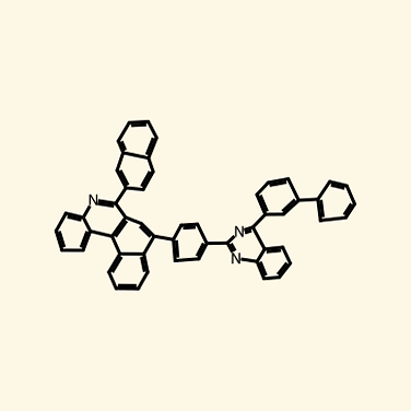 c1ccc(-c2cccc(-c3nc(-c4ccc(-c5cc6c(-c7ccc8ccccc8c7)nc7ccccc7c6c6ccccc56)cc4)nc4ccccc34)c2)cc1